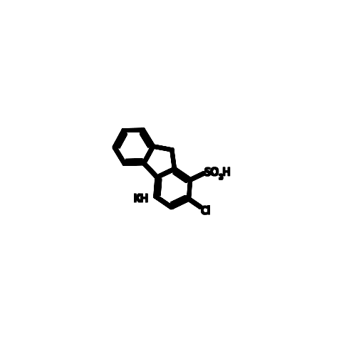 O=S(=O)(O)c1c(Cl)ccc2c1Cc1ccccc1-2.[KH]